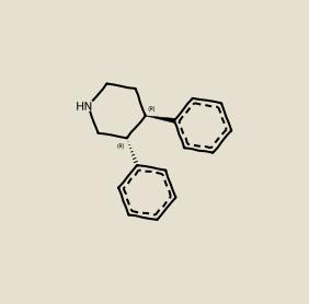 c1ccc([C@@H]2CCNC[C@H]2c2ccccc2)cc1